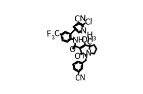 CC12CCCN1N(Cc1cccc(C#N)c1)C(=O)C(C(=O)Nc1ccc(C(F)(F)F)cc1-c1cnc(Cl)c(C#N)c1)=C2O